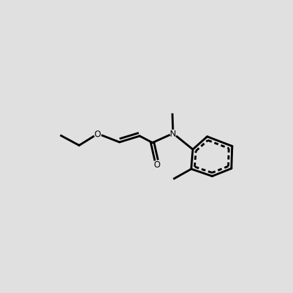 CCO/C=C/C(=O)N(C)c1ccccc1C